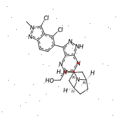 Cn1nc2ccc(-c3n[nH]c4nc(N5[C@@H]6CC[C@H]5C[C@@](C)(N)C6)c(CO)nc34)c(Cl)c2c1Cl